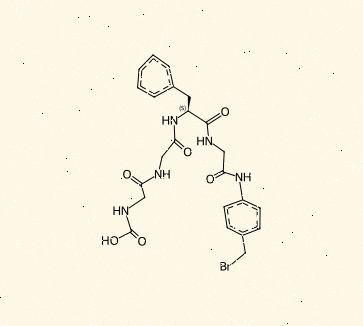 O=C(O)NCC(=O)NCC(=O)N[C@@H](Cc1ccccc1)C(=O)NCC(=O)Nc1ccc(CBr)cc1